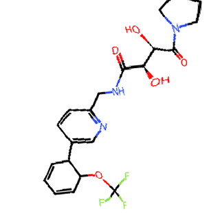 O=C(NCc1ccc(C2C=CC=CC2OC(F)(F)F)cn1)[C@H](O)[C@@H](O)C(=O)N1CCCC1